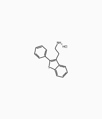 Cl.NCCc1c(-c2ccccc2)sc2ccccc12